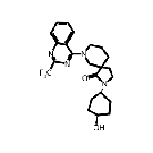 O=C1N([C@H]2CC[C@H](O)CC2)CCC12CCCN(c1nc(C(F)(F)F)nc3ccccc13)C2